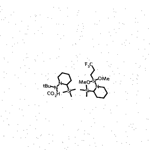 CC(C)(C)N(C(=O)O)N1CCCCC1[Si](C)(C)C.CO[Si](CCC(F)(F)F)(OC)N1CCCCC1[Si](C)(C)C